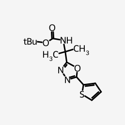 CC(C)(C)OC(=O)NC(C)(C)c1nnc(-c2cccs2)o1